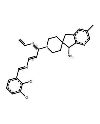 C=C\N=C(/C=C/N=C/c1cccc(Cl)c1Cl)N1CCC2(CC1)Cc1cc(C)cnc1C2N